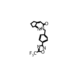 O=c1cc2c(nn1Cc1ccc(-c3noc(C(F)(F)F)n3)cc1)CCC2